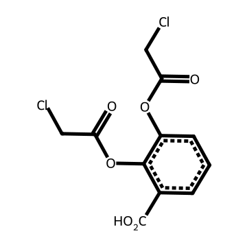 O=C(CCl)Oc1cccc(C(=O)O)c1OC(=O)CCl